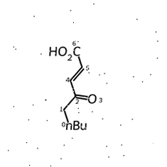 CCCCCC(=O)C=CC(=O)O